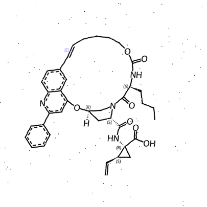 C=C[C@@H]1C[C@]1(NC(=O)[C@@H]1C[C@@H]2CN1C(=O)[C@H](CCCC)NC(=O)OCCCC/C=C/c1ccc3nc(-c4ccccc4)cc(c3c1)O2)C(=O)O